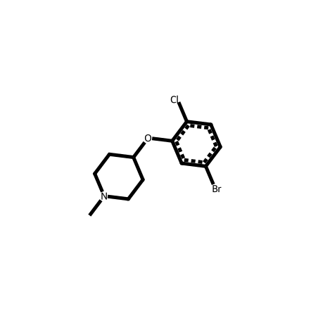 CN1CCC(Oc2cc(Br)ccc2Cl)CC1